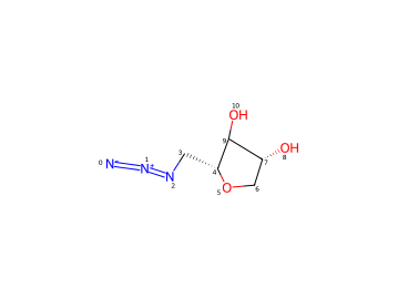 [N-]=[N+]=NC[C@H]1OC[C@@H](O)C1O